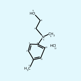 Cc1ccc(N(C)CCO)cc1.Cl